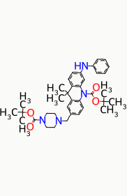 CC(C)(C)OC(=O)N1CCN(Cc2ccc3c(c2)C(C)(C)c2ccc(Nc4ccccc4)cc2N3C(=O)OC(C)(C)C)CC1